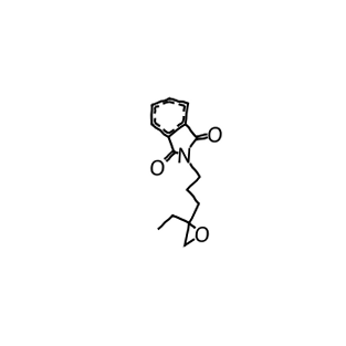 CCC1(CCCN2C(=O)c3ccccc3C2=O)CO1